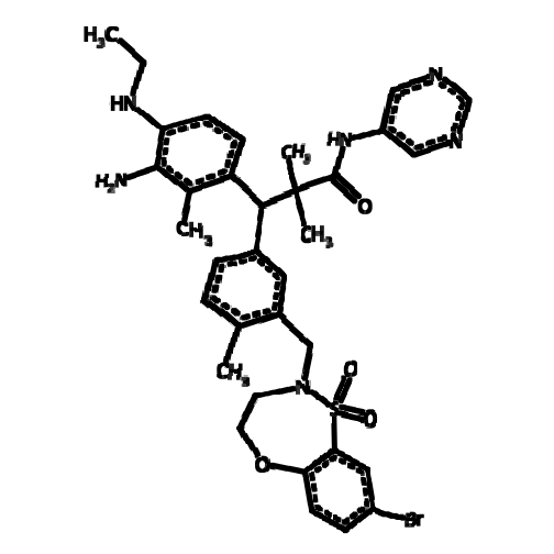 CCNc1ccc(C(c2ccc(C)c(CN3CCOc4ccc(Br)cc4S3(=O)=O)c2)C(C)(C)C(=O)Nc2cncnc2)c(C)c1N